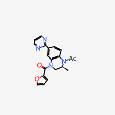 CC(=O)N1c2ccc(-c3ncccn3)cc2N(C(=O)c2ccco2)C[C@@H]1C